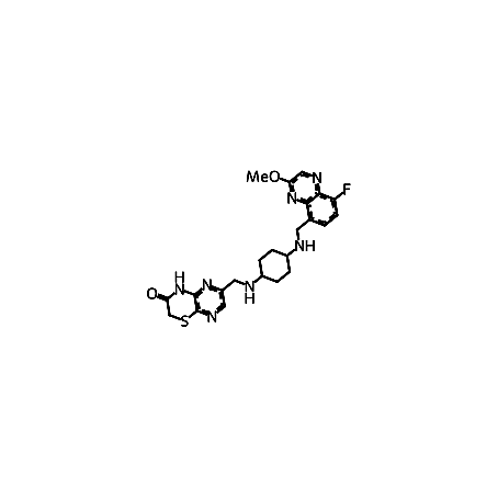 COc1cnc2c(F)ccc(CNC3CCC(NCc4cnc5c(n4)NC(=O)CS5)CC3)c2n1